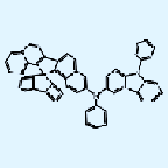 c1ccc(N(c2ccc3c4c(ccc3c2)-c2ccc3ccccc3c2C42c3ccccc3-c3ccccc32)c2ccc3c(c2)c2ccccc2n3-c2ccccc2)cc1